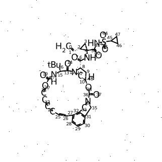 C=C[C@@H]1C[C@]1(NC(=O)[C@@H]1C[C@@H]2CN1C(=O)[C@H](C(C)(C)C)NC(=O)OCCCC/C=C\c1cccc3c1CN(C3)C(=O)O2)C(=O)NS(=O)(=O)C1CC1